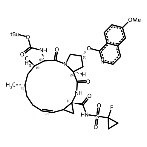 COc1ccc2c(O[C@@H]3C[C@H]4C(=O)N[C@]5(C(=O)NS(=O)(=O)C6(F)CC6)CC5/C=C\CC[C@H](C)C[C@@H](C)[C@H](NC(=O)OC(C)(C)C)C(=O)N4C3)nccc2c1